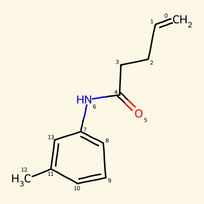 C=CCCC(=O)Nc1cccc(C)c1